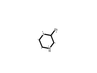 C[CH]C1CNCCS1